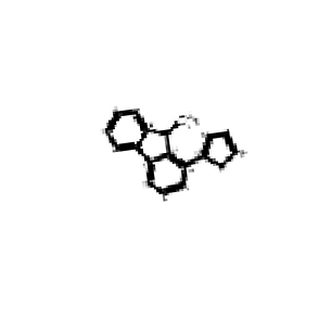 CC1c2ccccc2-c2cccc(C3=CC=CC3)c21